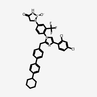 O=C1CN(c2ccc(-n3cc(-c4ccc(Cl)cc4Cl)nc3Cc3ccc(-c4ccc(C5CCCCC5)cc4)cc3)c(C(F)(F)F)c2)[S+]([O-])N1